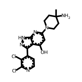 CC1(N)CCN(c2cc(O)c3c(-c4ccnc(Cl)c4Cl)n[nH]c3n2)CC1